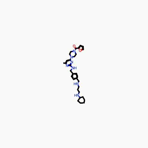 Cc1cc(N2CCN(C(=O)c3ccco3)CC2)nc(NCc2ccc(CNCCCNC3CCCCC3)cc2)n1